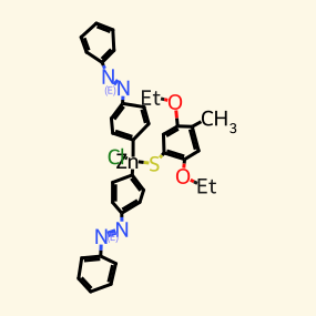 CCOc1cc([S][Zn]([Cl])([c]2ccc(/N=N/c3ccccc3)cc2)[c]2ccc(/N=N/c3ccccc3)cc2)c(OCC)cc1C